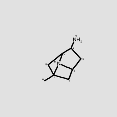 CC12CC3CC(N)C(C1)N32